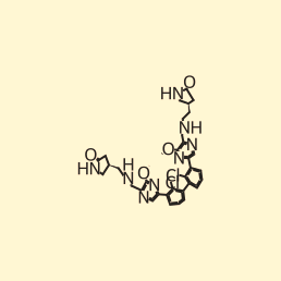 COc1nc(-c2cccc(-c3cccc(-c4cnc(CNCC[C@H]5CNC(=O)C5)c(OC)n4)c3Cl)c2Cl)cnc1CNCC[C@H]1CNC(=O)C1